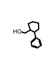 OCC1CCCCC1c1ccccc1